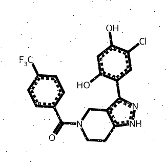 O=C(c1ccc(C(F)(F)F)cc1)N1CCc2[nH]nc(-c3cc(Cl)c(O)cc3O)c2C1